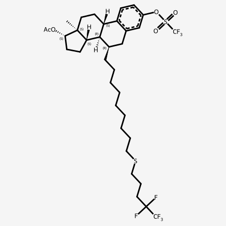 CC(=O)O[C@H]1CC[C@H]2[C@@H]3[C@H](CCCCCCCCCSCCCC(F)(F)C(F)(F)F)Cc4cc(OS(=O)(=O)C(F)(F)F)ccc4[C@H]3CC[C@]12C